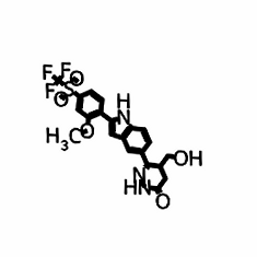 COc1cc(S(=O)(=O)C(F)(F)F)ccc1-c1cc2cc(C3=NNC(=O)CC3CO)ccc2[nH]1